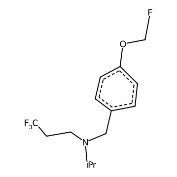 CC(C)N(CCC(F)(F)F)Cc1ccc(OCF)cc1